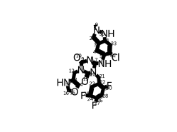 CN1C=C2C=C(Nc3nc(=O)n(CC4=COCN4)c(=O)n3Cc3cc(F)c(F)cc3F)C(Cl)=CC2N1